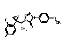 C[C@@H](n1nnn(-c2ccc(OC(F)(F)F)cc2)c1=O)[C@]1(c2ccc(F)cc2F)CO1